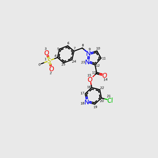 CS(=O)(=O)c1ccc(Cn2ccc(C(=O)Oc3cncc(Cl)c3)n2)cc1